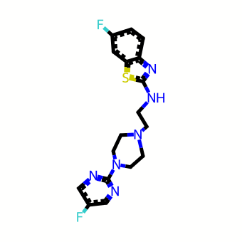 Fc1cnc(N2CCN(CCNc3nc4ccc(F)cc4s3)CC2)nc1